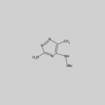 CCCCNc1nc(N)nnc1C